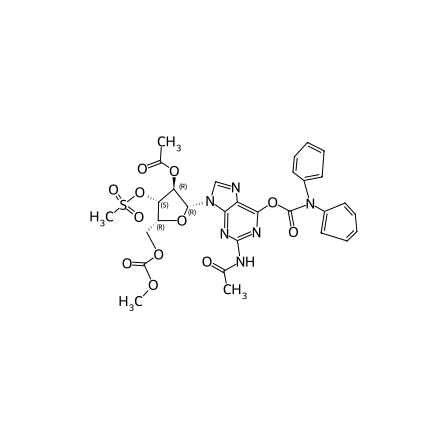 COC(=O)OC[C@H]1O[C@@H](n2cnc3c(OC(=O)N(c4ccccc4)c4ccccc4)nc(NC(C)=O)nc32)[C@H](OC(C)=O)[C@H]1OS(C)(=O)=O